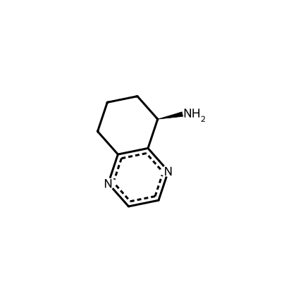 N[C@@H]1CCCc2nccnc21